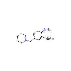 CNc1cc(CN2CCCCC2)ccc1N